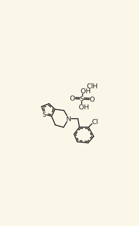 Cl.Clc1ccccc1CN1CCc2sccc2C1.O=S(=O)(O)O